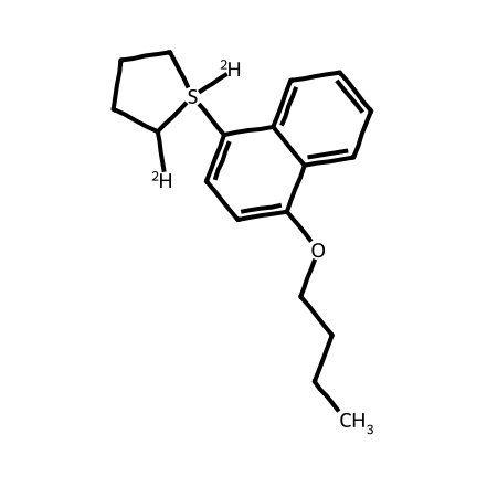 [2H]C1CCCS1([2H])c1ccc(OCCCC)c2ccccc12